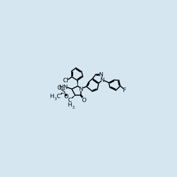 C[C@@H]1C(=O)N(c2ccc3c(cnn3-c3ccc(F)cc3)c2)[C@H](c2ccccc2Cl)C1NS(C)(=O)=O